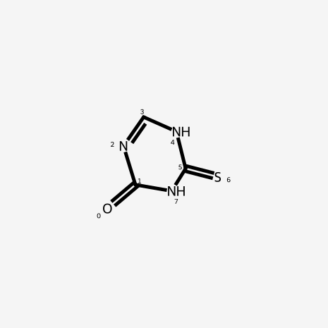 O=c1nc[nH]c(=S)[nH]1